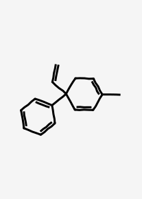 C=CC1(c2ccccc2)C=CC(C)=CC1